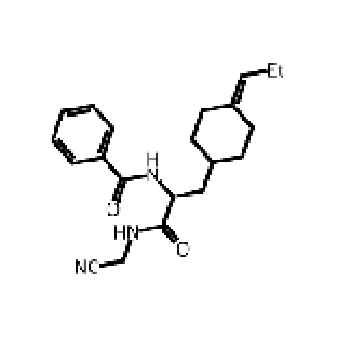 CCC=C1CCC(C[C@H](NC(=O)c2ccccc2)C(=O)NCC#N)CC1